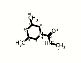 CNC(=O)N1CC(C)SC(C)C1